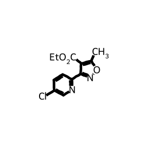 CCOC(=O)c1c(-c2ccc(Cl)cn2)noc1C